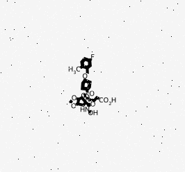 Cc1ccc(F)cc1COc1ccc(S(=O)(=O)N(CCC(=O)O)C2(C(=O)NO)CC3OCOC3C2)cc1